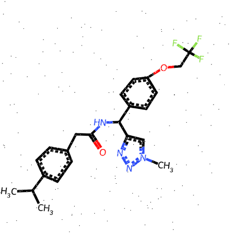 CC(C)c1ccc(CC(=O)NC(c2ccc(OCC(F)(F)F)cc2)c2cn(C)nn2)cc1